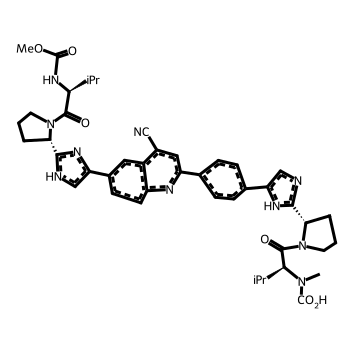 COC(=O)N[C@H](C(=O)N1CCC[C@H]1c1nc(-c2ccc3nc(-c4ccc(-c5cnc([C@@H]6CCCN6C(=O)[C@H](C(C)C)N(C)C(=O)O)[nH]5)cc4)cc(C#N)c3c2)c[nH]1)C(C)C